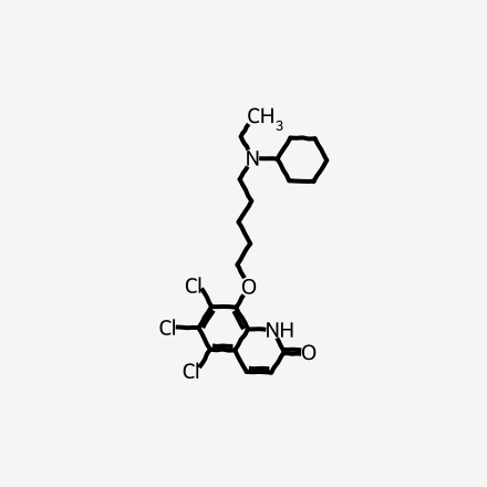 CCN(CCCCCOc1c(Cl)c(Cl)c(Cl)c2ccc(=O)[nH]c12)C1CCCCC1